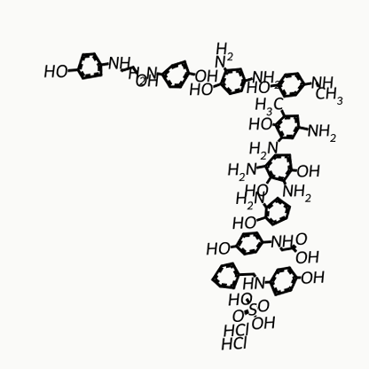 CNc1ccc(O)cc1.Cc1cc(N)cc(N)c1O.Cl.Cl.Nc1ccc(O)c(N)c1.Nc1ccc(O)c(N)c1O.Nc1ccc(O)cc1.Nc1ccccc1O.O=C(O)CNc1ccc(O)cc1.O=S(=O)(O)O.OCCNc1ccc(O)cc1.Oc1ccc(NCc2ccccc2)cc1